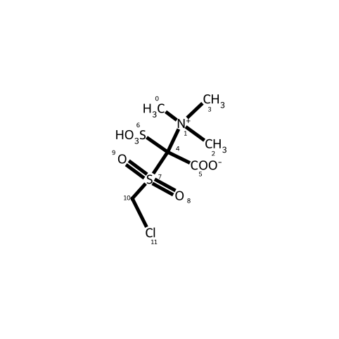 C[N+](C)(C)C(C(=O)[O-])(S(=O)(=O)O)S(=O)(=O)CCl